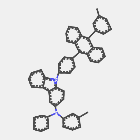 Cc1cccc(-c2c3ccccc3c(-c3ccc(-n4c5ccccc5c5cc(N(c6ccccc6)c6cccc(C)c6)ccc54)cc3)c3ccccc23)c1